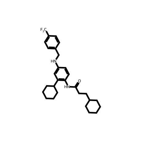 O=C(CCC1CCCCC1)Nc1ccc(NCc2ccc(C(F)(F)F)cc2)cc1C1CCCCC1